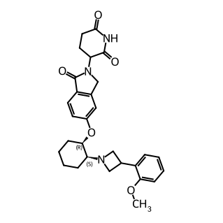 COc1ccccc1C1CN([C@H]2CCCC[C@H]2Oc2ccc3c(c2)CN(C2CCC(=O)NC2=O)C3=O)C1